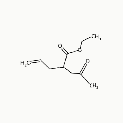 C=CCC(CC(C)=O)C(=O)OCC